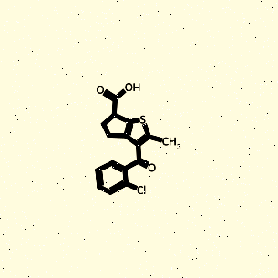 Cc1sc2c(c1C(=O)c1ccccc1Cl)CCC2C(=O)O